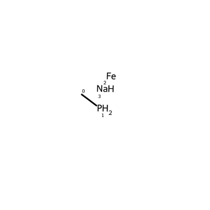 CP.[Fe].[NaH]